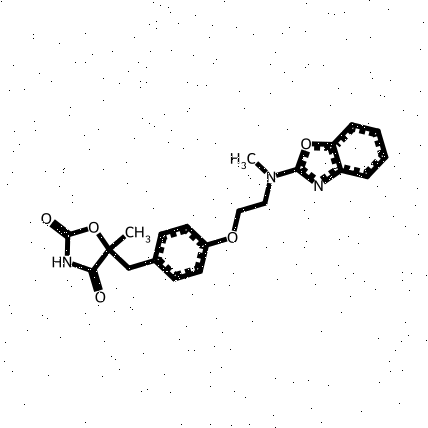 CN(CCOc1ccc(CC2(C)OC(=O)NC2=O)cc1)c1nc2ccccc2o1